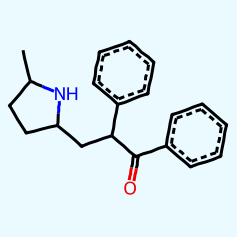 CC1CCC(CC(C(=O)c2ccccc2)c2ccccc2)N1